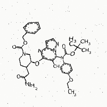 CCOc1ccc(N(C(=O)OC(C)(C)C)c2c(C)c(OC3CN(C(=O)OCc4ccccc4)CCC3CC(N)=O)nc3ccnn23)cc1